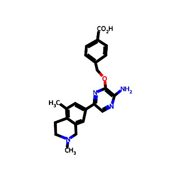 Cc1cc(-c2cnc(N)c(OCc3ccc(C(=O)O)cc3)n2)cc2c1CCN(C)C2